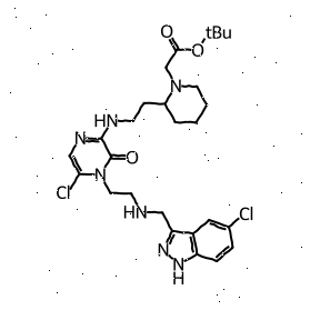 CC(C)(C)OC(=O)CN1CCCCC1CCNc1ncc(Cl)n(CCNCc2n[nH]c3ccc(Cl)cc23)c1=O